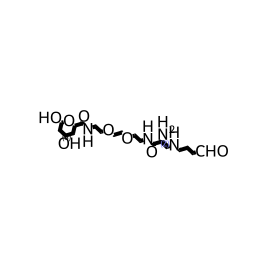 N/C(=C\NCCCC=O)C(=O)NCCOCCOCCNC(=O)C1C[C@H](O)CC(O)O1